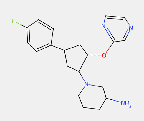 NC1CCCN(C2CC(c3ccc(F)cc3)CC2Oc2cnccn2)C1